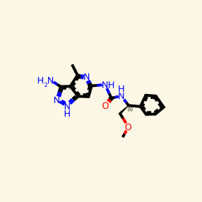 COC[C@@H](NC(=O)Nc1cc2[nH]nc(N)c2c(C)n1)c1ccccc1